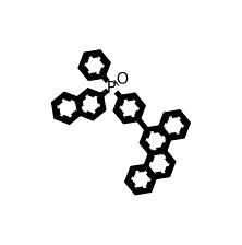 O=P(c1ccccc1)(c1ccc(-c2cc3c4ccccc4ccc3c3ccccc23)cc1)c1ccc2ccccc2c1